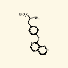 CCOC(=O)C(N)Cc1ccc(Oc2nccc3ccncc23)cc1